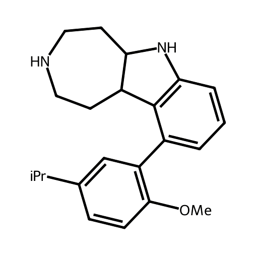 COc1ccc(C(C)C)cc1-c1cccc2c1C1CCNCCC1N2